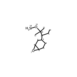 CCC(C1CCC2OC2C1)C(C)(C)O[SiH3]